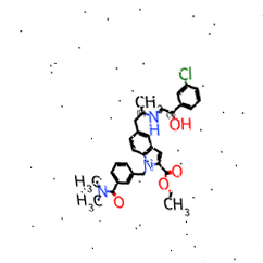 CCOC(=O)c1cc2cc(C[C@@H](C)NC[C@@H](O)c3cccc(Cl)c3)ccc2n1Cc1cccc(C(=O)N(C)C)c1